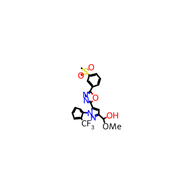 COC(O)c1cc(-c2nnc(-c3cccc(S(C)(=O)=O)c3)o2)n(-c2ccccc2C(F)(F)F)n1